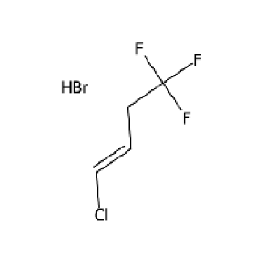 Br.FC(F)(F)CC=CCl